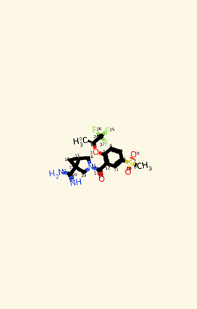 C[C@H](Oc1ccc(S(C)(=O)=O)cc1C(=O)N1CC2CC2(C(=N)N)C1)C(F)(F)F